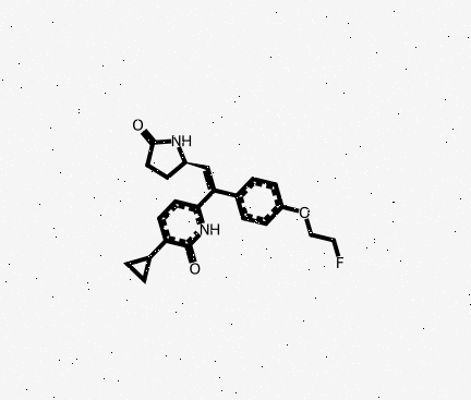 O=C1CC[C@H](/C=C(/c2ccc(OCCF)cc2)c2ccc(C3CC3)c(=O)[nH]2)N1